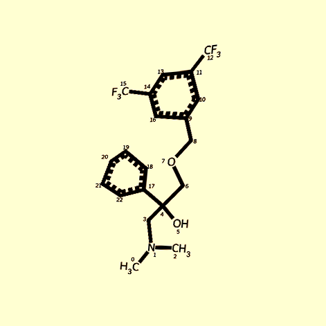 CN(C)CC(O)(COCc1cc(C(F)(F)F)cc(C(F)(F)F)c1)c1ccccc1